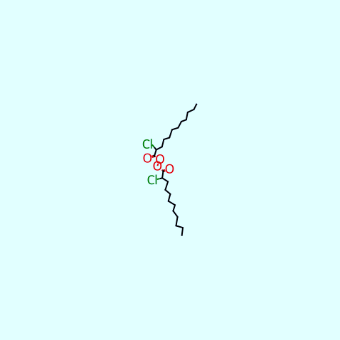 CCCCCCCCCCC(Cl)C(=O)OOC(=O)C(Cl)CCCCCCCCCC